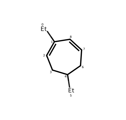 CCC1=[C]CC(CC)CC=C1